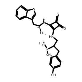 C[C@@H](Cc1csc2ccccc12)Nc1c(NCC(Cc2ccc(O)cc2)N(C)C)c(=O)c1=O